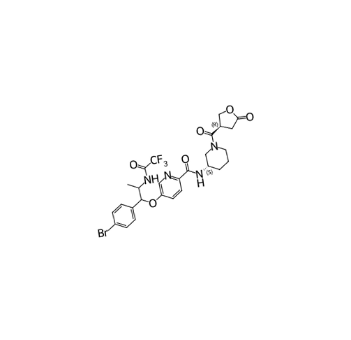 CC(NC(=O)C(F)(F)F)C(Oc1ccc(C(=O)N[C@H]2CCCN(C(=O)[C@H]3COC(=O)C3)C2)nc1)c1ccc(Br)cc1